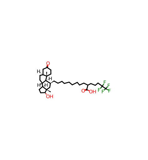 C[C@]12CCC(=O)C[C@@H]1CC[C@@H]1[C@@H]2[C@@H](CCCCCCCCCC(CCCC(F)(F)C(F)(F)F)C(=O)O)C[C@]2(C)[C@@H](O)CC[C@@H]12